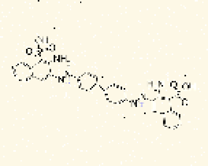 Nc1c(/N=N/c2ccc(-c3ccc(/N=N/c4cc5ccccc5c(S(=O)(=O)O)c4N)cc3)cc2)cc2ccccc2c1S(=O)(=O)O